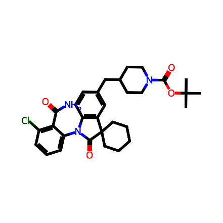 CC(C)(C)OC(=O)N1CCC(Cc2ccc3c(c2)C2(CCCCC2)C(=O)N3c2cccc(Cl)c2C(N)=O)CC1